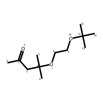 CC(=O)CC(C)(C)OCCOC(C)(C)C